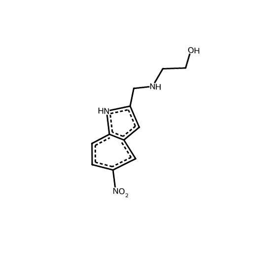 O=[N+]([O-])c1ccc2[nH]c(CNCCO)cc2c1